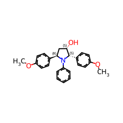 COc1ccc([C@H]2C[C@H](O)[C@H](c3ccc(OC)cc3)N2c2ccccc2)cc1